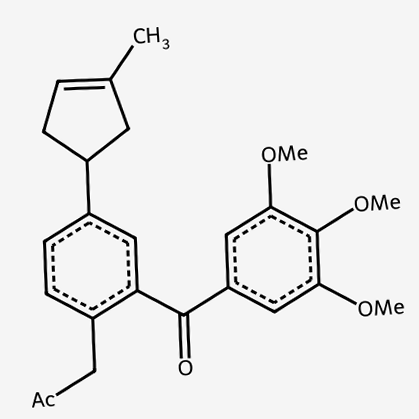 COc1cc(C(=O)c2cc(C3CC=C(C)C3)ccc2CC(C)=O)cc(OC)c1OC